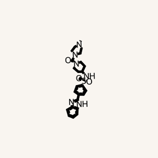 CN1CCN(C(=O)N2CCC(NS(=O)(=O)c3ccc(-c4nc5ccccc5[nH]4)cc3)CC2)CC1